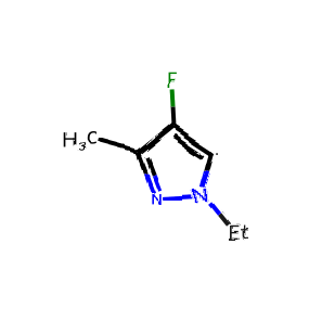 CCn1[c]c(F)c(C)n1